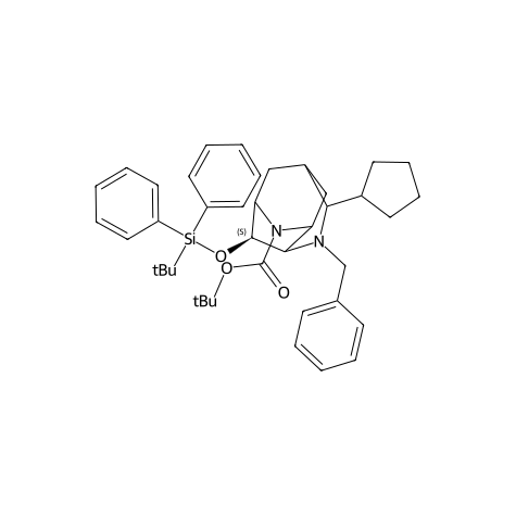 CC(C)(C)OC(=O)N1C2CC3CC1[C@H](O[Si](c1ccccc1)(c1ccccc1)C(C)(C)C)C2N(Cc1ccccc1)C3C1CCCC1